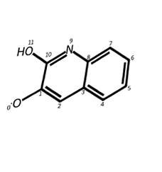 [O]c1cc2ccccc2nc1O